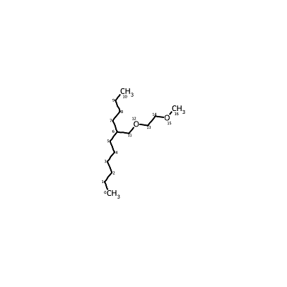 CCCCCCC(CCCC)COCCOC